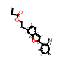 C=CC(=O)OCCc1ccc2cc(-c3ccccc3CC)oc2c1